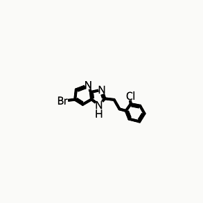 Clc1ccccc1CCc1nc2ncc(Br)cc2[nH]1